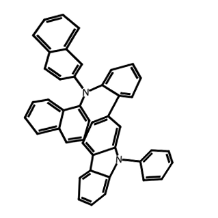 c1ccc(-n2c3ccccc3c3ccc(-c4ccccc4N(c4ccc5ccccc5c4)c4cccc5ccccc45)cc32)cc1